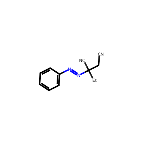 CCC(C#N)(CC#N)N=Nc1ccccc1